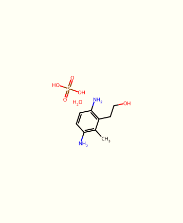 Cc1c(N)ccc(N)c1CCO.O.O=S(=O)(O)O